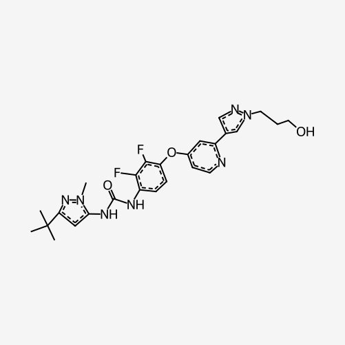 Cn1nc(C(C)(C)C)cc1NC(=O)Nc1ccc(Oc2ccnc(-c3cnn(CCCO)c3)c2)c(F)c1F